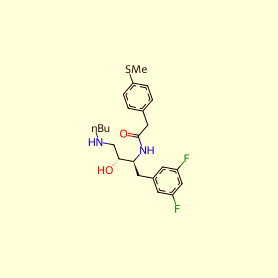 CCCCNC[C@@H](O)[C@H](Cc1cc(F)cc(F)c1)NC(=O)Cc1ccc(SC)cc1